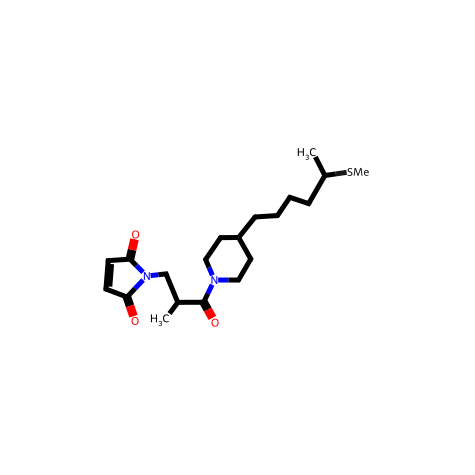 CSC(C)CCCCC1CCN(C(=O)C(C)CN2C(=O)C=CC2=O)CC1